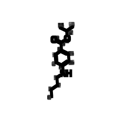 CCCCNc1ccc(C(=O)OC(C)C)cc1